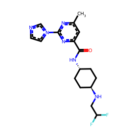 Cc1cc(C(=O)N[C@H]2CC[C@H](NCC(F)F)CC2)nc(-n2ccnc2)n1